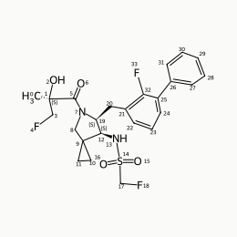 C[C@@](O)(CF)C(=O)N1CC2(CC2)[C@H](NS(=O)(=O)CF)[C@@H]1Cc1cccc(-c2ccccc2)c1F